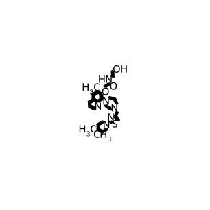 Cc1cc2cccnc2c(N2CCCN(Cc3csc(N4CCC(C)(C)CC4)n3)CC2)c1OCC(=O)NCCO